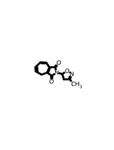 CC1=NOC(N2C(=O)C3=C(CC#CC=C3)C2=O)C1